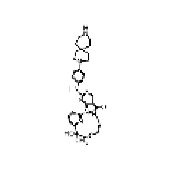 CC1(O)CCC=CCn2c(=O)c3cnc(Nc4ccc(N5CCC6(CCNCC6)CC5)cc4)nc3n2-c2cccc1n2